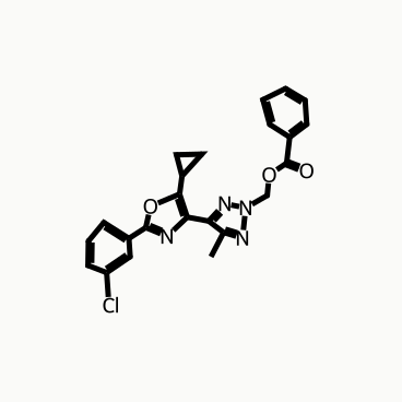 Cc1nn(COC(=O)c2ccccc2)nc1-c1nc(-c2cccc(Cl)c2)oc1C1CC1